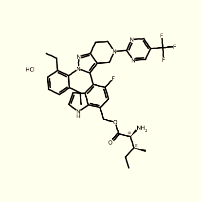 CCc1cccc(CC)c1-n1nc2c(c1-c1c(F)cc(COC(=O)[C@@H](N)[C@@H](C)CC)c3[nH]ccc13)CN(c1ncc(C(F)(F)F)cn1)CC2.Cl